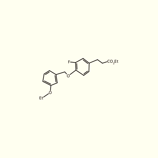 CCOC(=O)CCc1ccc(OCc2cccc(OCC)c2)c(F)c1